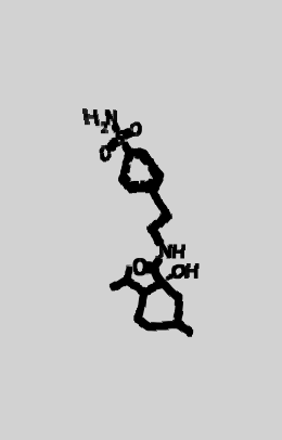 CC1CCC(C(C)C)[C@@](O)(C(=O)NCCc2ccc(S(N)(=O)=O)cc2)C1